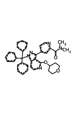 CN(C)C(=O)c1cc(-c2nn(C(c3ccccc3)(c3ccccc3)c3ccccc3)c3ccnc(OC4CCOCC4)c23)ccn1